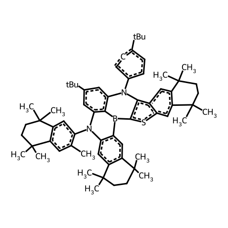 Cc1cc2c(cc1N1c3cc4c(cc3B3c5sc6cc7c(cc6c5N(c5ccc(C(C)(C)C)cc5)c5cc(C(C)(C)C)cc1c53)C(C)(C)CCC7(C)C)C(C)(C)CCC4(C)C)C(C)(C)CCC2(C)C